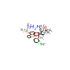 CC(C)Oc1cccc(OC(C)C)c1-c1ccccc1P(C1CCCCC1)C1CCCCC1.COC(C)(C)C.NCCc1[c-]cccc1.[Cl][Pd+]